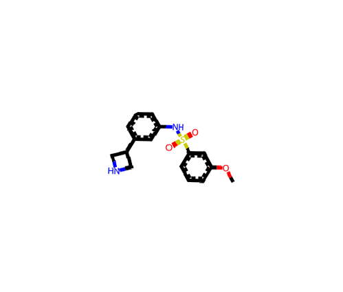 COc1cccc(S(=O)(=O)Nc2cccc(C3CNC3)c2)c1